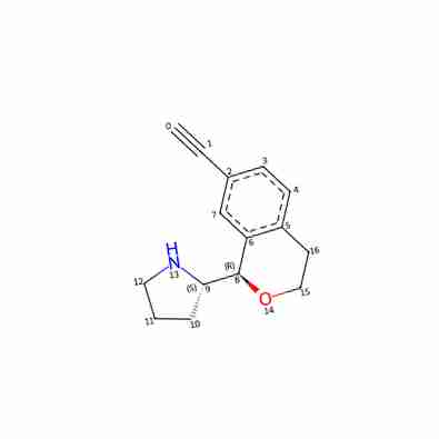 C#Cc1ccc2c(c1)[C@H]([C@@H]1CCCN1)OCC2